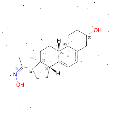 C/C(=N/O)[C@H]1CC[C@H]2C3=CC=C4C[C@@H](O)CC[C@]4(C)[C@H]3CC[C@]12C